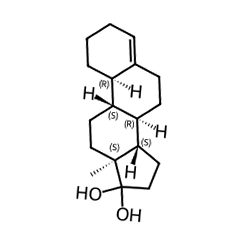 C[C@]12CC[C@H]3[C@@H](CCC4=CCCC[C@@H]43)[C@@H]1CCC2(O)O